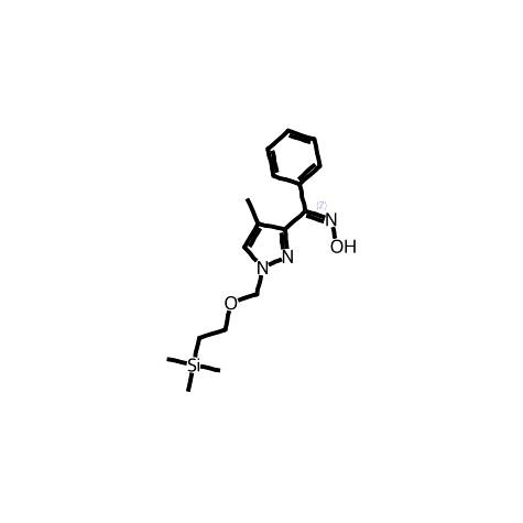 Cc1cn(COCC[Si](C)(C)C)nc1/C(=N\O)c1ccccc1